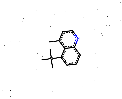 Cc1ccnc2cccc([Si](C)(C)C)c12